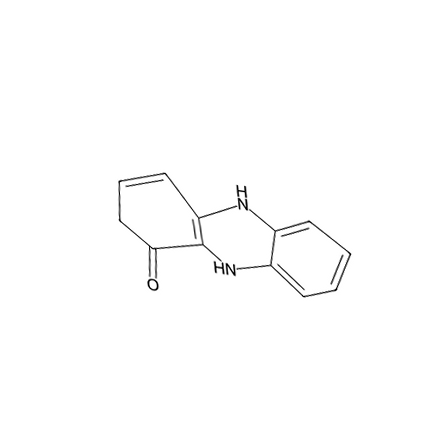 O=C1CC=CC2=C1Nc1ccccc1N2